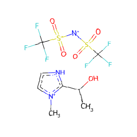 CC(O)c1[nH]cc[n+]1C.O=S(=O)([N-]S(=O)(=O)C(F)(F)F)C(F)(F)F